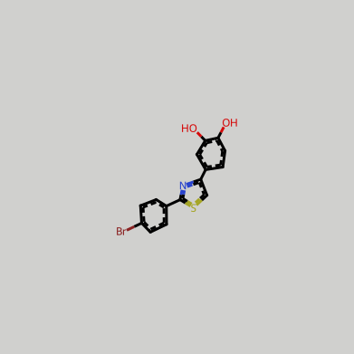 Oc1ccc(-c2csc(-c3ccc(Br)cc3)n2)cc1O